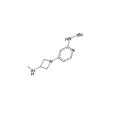 C[AsH]C1CN(c2ccnc(NC(C)(C)C)c2)C1